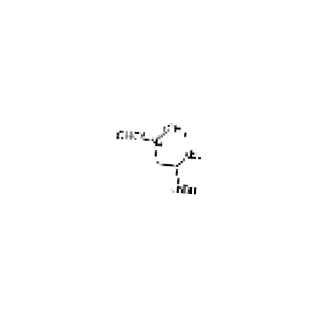 CCCCC(CC)CN(C)C=O